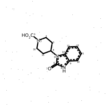 O=C(O)N1CCC(n2c(=O)[nH]c3ccccc32)CC1